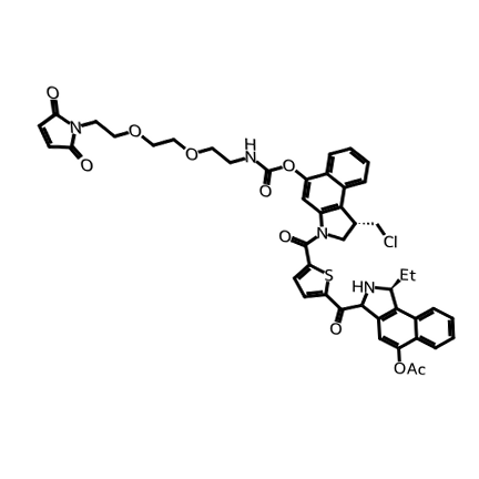 CC[C@@H]1NC(C(=O)c2ccc(C(=O)N3C[C@@H](CCl)c4c3cc(OC(=O)NCCOCCOCCN3C(=O)C=CC3=O)c3ccccc43)s2)c2cc(OC(C)=O)c3ccccc3c21